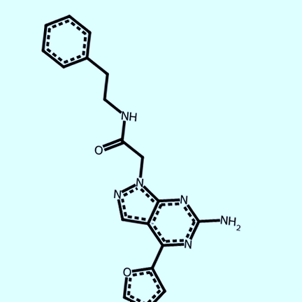 Nc1nc(-c2ccco2)c2cnn(CC(=O)NCCc3ccccc3)c2n1